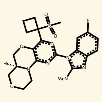 CNc1nc2ccc(F)cc2n1-c1nc2c(c(C3(S(C)(=O)=O)CCC3)n1)OC[C@@H]1COCCN21